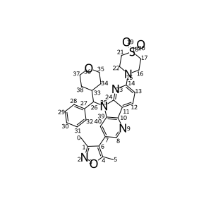 Cc1noc(C)c1-c1cnc2c3ccc(N4CCS(=O)(=O)CC4)nc3n(C(c3ccccc3)C3CCOCC3)c2c1